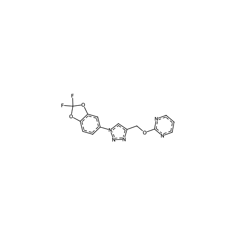 FC1(F)Oc2ccc(-n3cc(COc4ncccn4)nn3)cc2O1